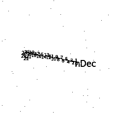 [CH2]CCCCCCCCCCCCCCCCCCCCCCCCCCCCC1CCCCC1